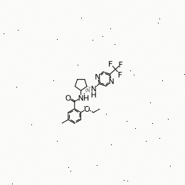 CCOc1ccc(C)cc1C(=O)NC1CCC[C@@H]1Nc1cnc(C(F)(F)F)cn1